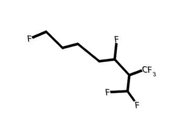 FCCCCC(F)C(C(F)F)C(F)(F)F